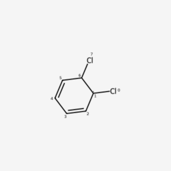 Cl[C]1C=CC=CC1Cl